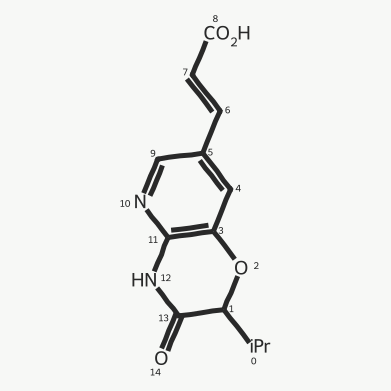 CC(C)C1Oc2cc(/C=C/C(=O)O)cnc2NC1=O